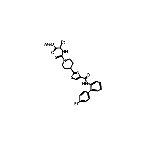 CCc1ccc(-c2ccccc2NC(=O)c2csc(C3CCN(C(=S)NC(CC)C(=O)OC)CC3)n2)cc1